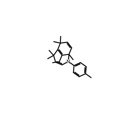 CCC1=C2C(C)(C)C=CN(c3ccc(C)cc3)C1(C)C=CC2(C)C